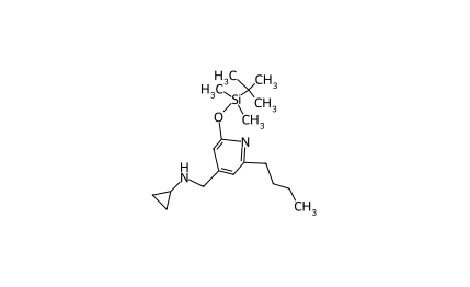 CCCCc1cc(CNC2CC2)cc(O[Si](C)(C)C(C)(C)C)n1